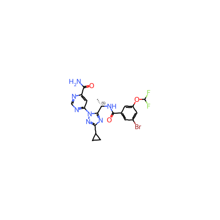 C[C@H](NC(=O)c1cc(Br)cc(OC(F)F)c1)c1nc(C2CC2)nn1-c1cc(C(N)=O)ncn1